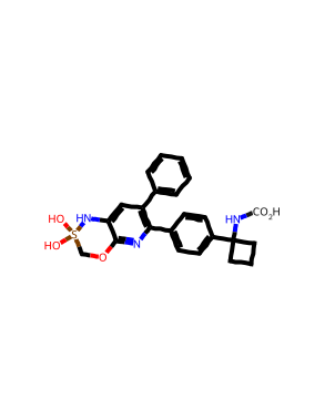 O=C(O)NC1(c2ccc(-c3nc4c(cc3-c3ccccc3)NS(O)(O)CO4)cc2)CCC1